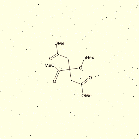 CCCCCCOC(CC(=O)OC)(CC(=O)OC)C(=O)OC